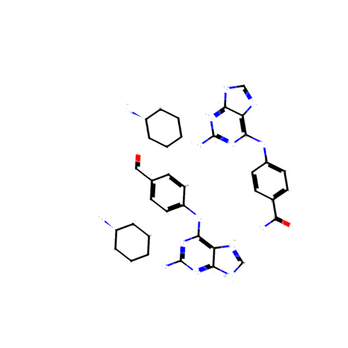 NC(=O)c1ccc(Nc2nc(N[C@H]3CC[C@H](N)CC3)nc3[nH]cnc23)cc1.N[C@H]1CC[C@H](Nc2nc(Nc3ccc(C=O)cc3)c3nc[nH]c3n2)CC1